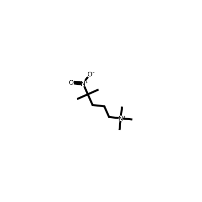 CC(C)(CCC[N+](C)(C)C)[N+](=O)[O-]